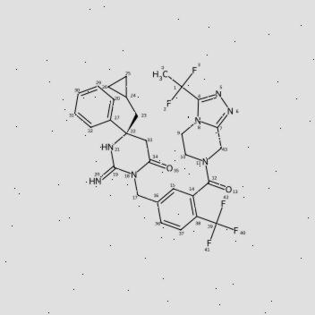 CC(F)(F)c1nnc2n1CCN(C(=O)c1cc(CN3C(=N)N[C@](CC4CC4)(c4ccccc4)CC3=O)ccc1C(F)(F)F)C2